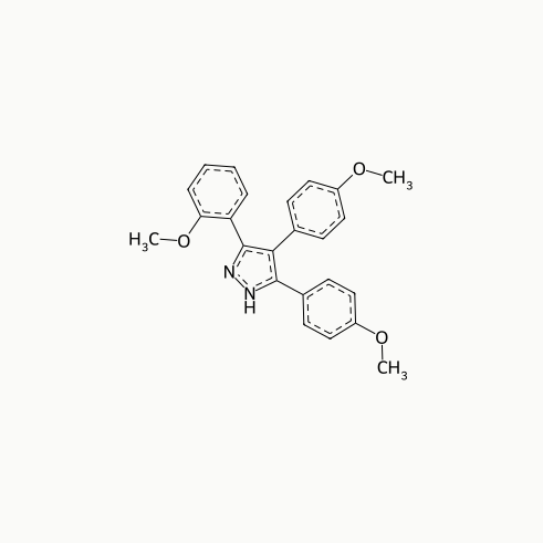 COc1ccc(-c2[nH]nc(-c3ccccc3OC)c2-c2ccc(OC)cc2)cc1